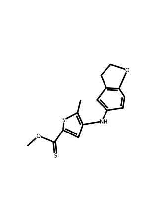 COC(=S)c1cc(Nc2ccc3c(c2)CCO3)c(C)s1